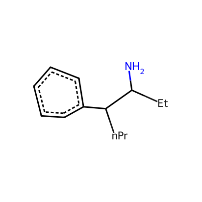 CCCC(c1ccccc1)C(N)CC